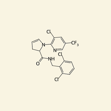 O=C(NCc1c(Cl)cccc1Cl)C1CC=CN1c1ncc(C(F)(F)F)cc1Cl